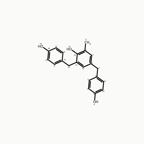 Cc1cc(Cc2ccc(O)cc2)cc(Cc2ccc(O)cc2)c1O